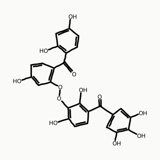 O=C(c1ccc(O)cc1O)c1ccc(O)cc1OOc1c(O)ccc(C(=O)c2cc(O)c(O)c(O)c2)c1O